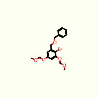 COCOc1cc(COCc2ccccc2)c(Br)c(OCOC)c1